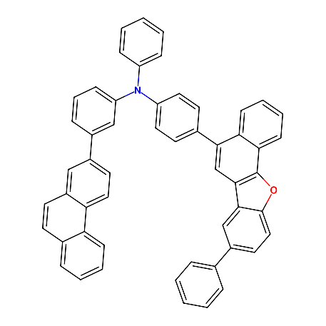 c1ccc(-c2ccc3oc4c5ccccc5c(-c5ccc(N(c6ccccc6)c6cccc(-c7ccc8c(ccc9ccccc98)c7)c6)cc5)cc4c3c2)cc1